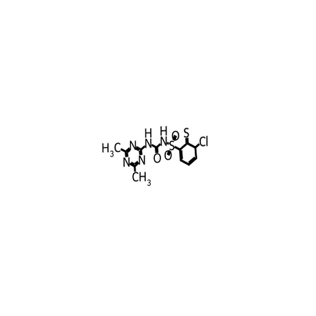 Cc1nc(C)nc(NC(=O)NS(=O)(=O)C2=CC=CC(Cl)C2=S)n1